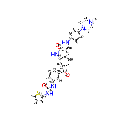 CN1CCN(c2ccc(NC=C3C(=O)Nc4cc(C(=O)c5cccc(NC(=O)Nc6cccs6)c5)ccc43)cc2)CC1